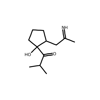 CC(=N)CC1CCCC1(O)C(=O)C(C)C